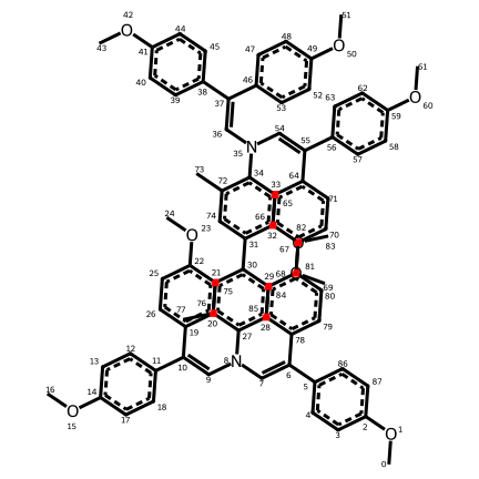 COc1ccc(C(=CN(C=C(c2ccc(OC)cc2)c2ccc(OC)cc2)c2ccc(-c3ccc(N(C=C(c4ccc(OC)cc4)c4ccc(OC)cc4)C=C(c4ccc(OC)cc4)c4ccc(OC)cc4)c(C)c3)cc2C)c2ccc(OC)cc2)cc1